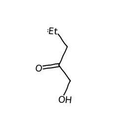 C[C]CC(=O)CO